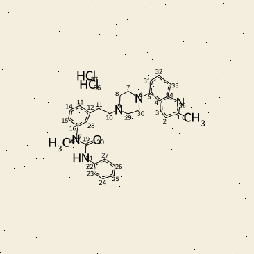 Cc1ccc2c(N3CCN(CCc4cccc(N(C)C(=O)Nc5ccccc5)c4)CC3)cccc2n1.Cl.Cl